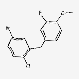 COc1ccc(Cc2cc(Br)ccc2Cl)cc1F